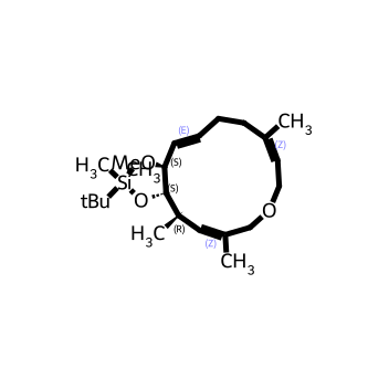 CO[C@H]1/C=C/CC/C(C)=C\COC/C(C)=C\[C@@H](C)[C@@H]1O[Si](C)(C)C(C)(C)C